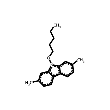 CCCCCOn1c2cc(C)ccc2c2ccc(C)cc21